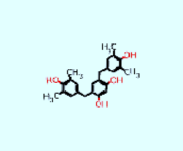 Cc1cc(Cc2cc(Cc3cc(C)c(O)c(C)c3)c(O)cc2O)cc(C)c1O